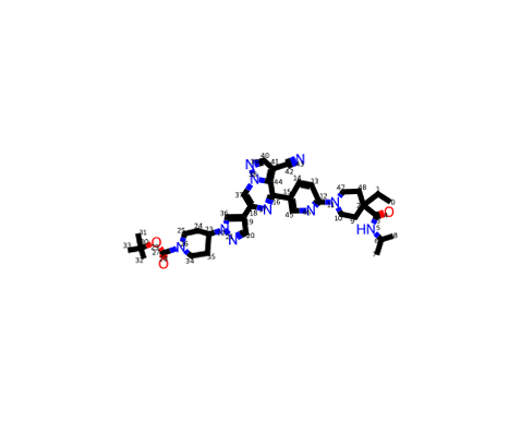 CCC1(C(=O)NC(C)C)CCN(c2ccc(-c3nc(-c4cnn(C5CCN(C(=O)OC(C)(C)C)CC5)c4)cn4ncc(C#N)c34)cn2)CC1